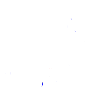 NCCCC[C@H](N)C(=O)NC1CCc2ccccc2N(Cc2ccc(-c3ccccc3-c3nnn[nH]3)cc2)C1=O